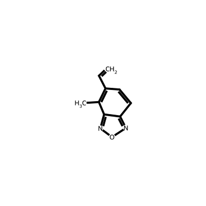 C=Cc1ccc2nonc2c1C